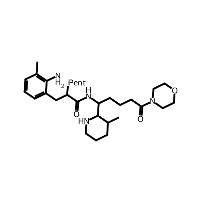 CCCC(C)C(Cc1cccc(C)c1N)C(=O)NC(CCCC(=O)N1CCOCC1)C1NCCCC1C